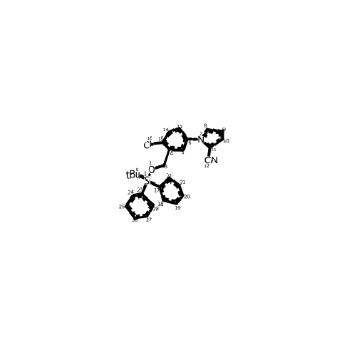 CC(C)(C)[Si](OCc1cc(-n2cccc2C#N)ccc1Cl)(c1ccccc1)c1ccccc1